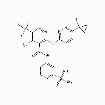 Cc1c(C(F)(F)F)nnc(Oc2ccc(C3(F)CC3)nn2)c1C(=O)Nc1cccc(S(C)(=N)=O)c1